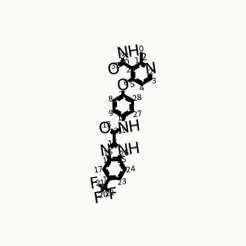 Cc1nccc(Oc2ccc(NC(=O)c3nc4cc(C(F)(F)F)ccc4[nH]3)cc2)c1C(N)=O